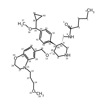 CCCCC(=O)NC[C@@H]1CNC[C@H](OCc2ccc3c(c2)N(CCCOC)CCO3)[C@H]1c1ccc(C(OC)C2CC2)cc1